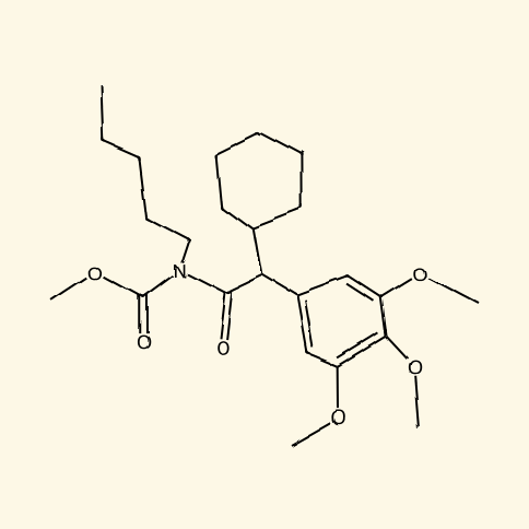 CCCCCN(C(=O)OC)C(=O)C(c1cc(OC)c(OC)c(OC)c1)C1CCCCC1